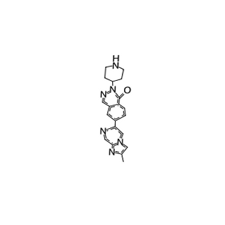 Cc1cn2cc(-c3ccc4c(=O)n(C5CCNCC5)ncc4c3)ncc2n1